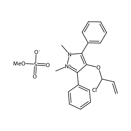 C=CC(Cl)Oc1c(-c2ccccc2)n(C)[n+](C)c1-c1ccccc1.COS(=O)(=O)[O-]